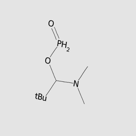 CN(C)C(O[PH2]=O)C(C)(C)C